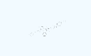 CN1CCN(C(=O)C2(C)COC(c3nc(-c4ccc(F)cc4)c(-c4ccnc(NCCCN5CCNC5)n4)[nH]3)OC2)CC1